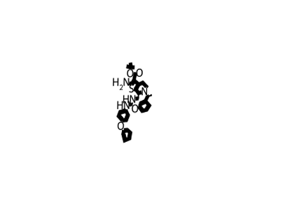 C[C@@H](c1ccccc1)N1CCc2c(sc(N)c2C(=O)OC(C)(C)C)[C@@H]1CNC(=O)Nc1ccc(Oc2ccccc2)cc1